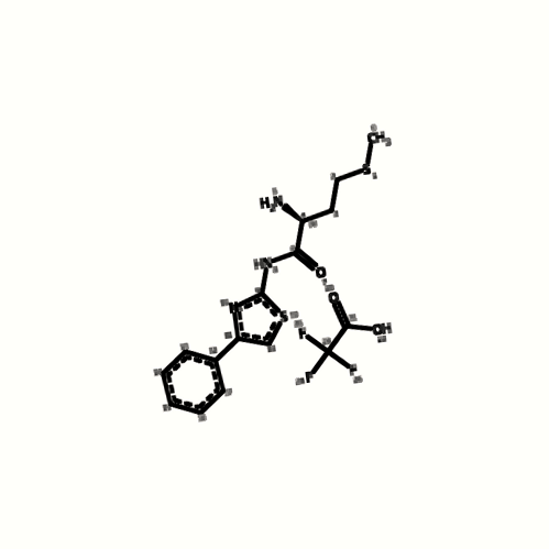 CSCC[C@H](N)C(=O)Nc1nc(-c2ccccc2)cs1.O=C(O)C(F)(F)F